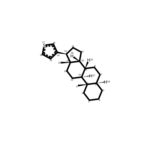 C[C@]12CCCC[C@@H]1CC[C@H]1[C@H]3CC[C@H](c4ccsc4)[C@@]3(C)CC[C@@H]12